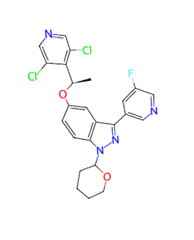 C[C@@H](Oc1ccc2c(c1)c(-c1cncc(F)c1)nn2C1CCCCO1)c1c(Cl)cncc1Cl